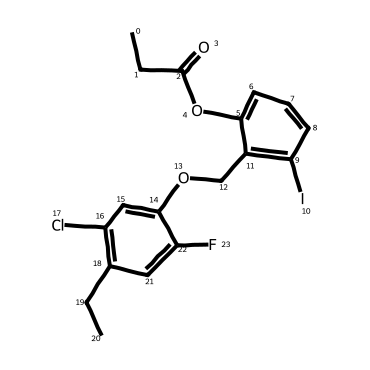 CCC(=O)Oc1cccc(I)c1COc1cc(Cl)c(CC)cc1F